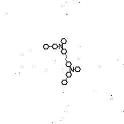 c1ccc(-c2ccc(N(c3ccccc3)c3ccc(CCc4ccc(N(c5ccccc5)c5ccc(-c6ccccc6)cc5)cc4)cc3)cc2)cc1